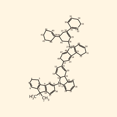 CC1(C)C2=C(CCC=C2)c2cc(N3c4ccccc4C4C=C(C5C=c6c7c(n(C8C=C(C9=NCCC=C9)CC(C9=CCCCC9)C8)c6=CC5)C=CCC7)C=CC43)ccc21